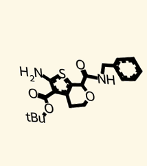 CC(C)(C)OC(=O)c1c(N)sc2c1CCOC2C(=O)NCc1ccccc1